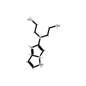 OCCN(CCO)c1cn2[nH]ccc2n1